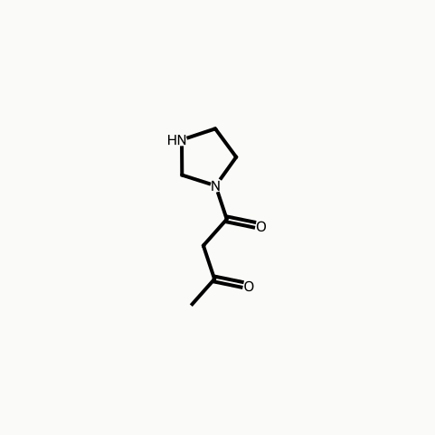 CC(=O)CC(=O)N1CCNC1